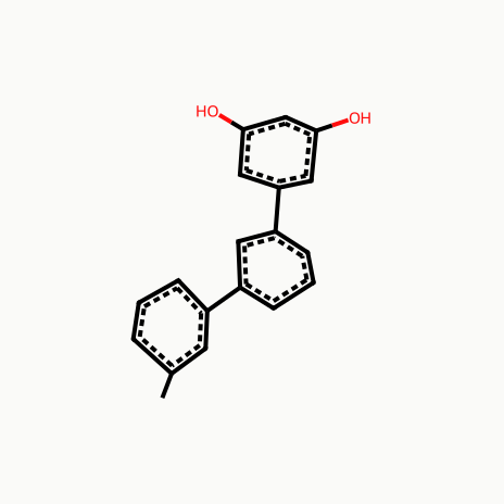 Cc1cccc(-c2cccc(-c3cc(O)cc(O)c3)c2)c1